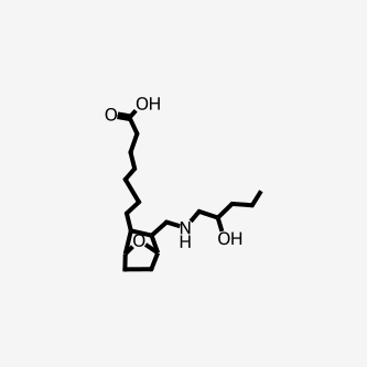 CCCC(O)CNCC1C2CCC(O2)C1CCCCCCC(=O)O